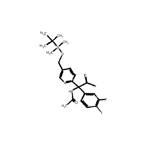 CC(=O)NC(c1ccc(F)c(F)c1)(c1ccc(CO[Si](C)(C)C(C)(C)C)cn1)C(F)F